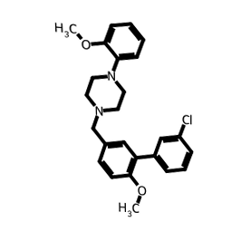 COc1ccc(CN2CCN(c3ccccc3OC)CC2)cc1-c1cccc(Cl)c1